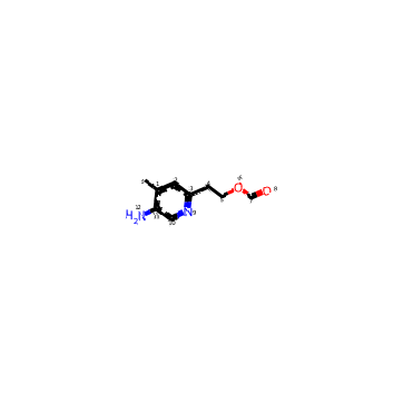 Cc1cc(CCOC=O)ncc1N